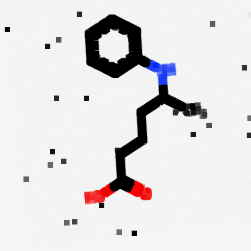 CC(CCCC(=O)O)Nc1ccccc1